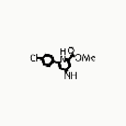 COC(=O)C1=CC(=N)CC(c2ccc(Cl)cc2)N1